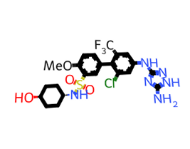 COc1ccc(-c2c(Cl)cc(Nc3n[nH]c(N)n3)cc2C(F)(F)F)cc1S(=O)(=O)N[C@H]1CC[C@H](O)CC1